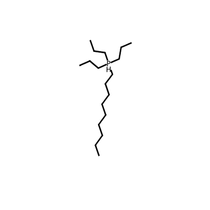 CCCCCCCCC[PH](CCC)(CCC)CCC